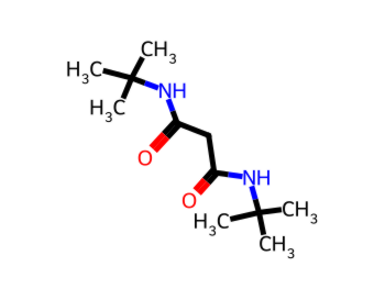 CC(C)(C)NC(=O)CC(=O)NC(C)(C)C